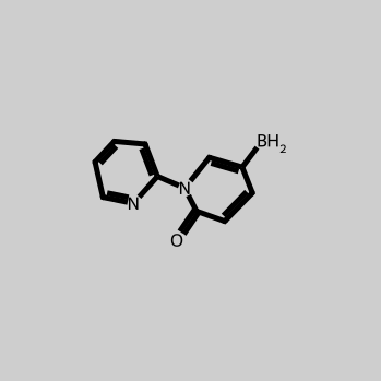 Bc1ccc(=O)n(-c2ccccn2)c1